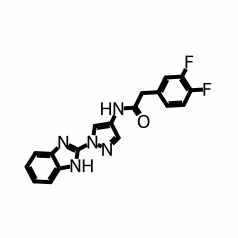 O=C(Cc1ccc(F)c(F)c1)Nc1cnn(-c2nc3ccccc3[nH]2)c1